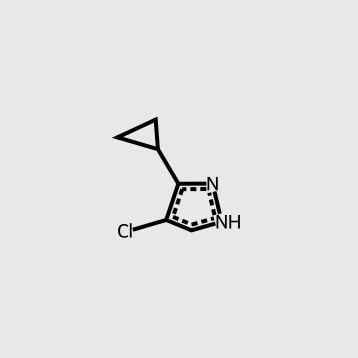 Clc1c[nH]nc1C1CC1